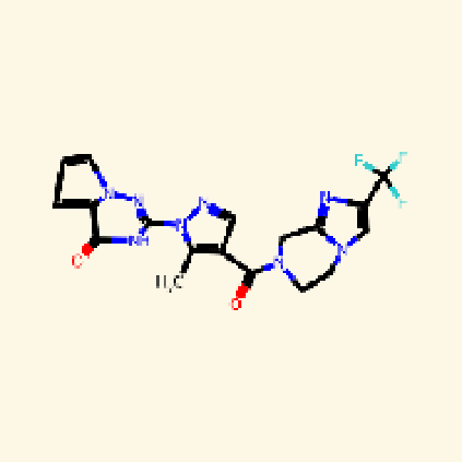 Cc1c(C(=O)N2CCn3cc(C(F)(F)F)nc3C2)cnn1-c1nn2cccc2c(=O)[nH]1